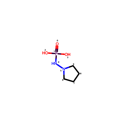 O=P(O)(O)NN1CCCC1